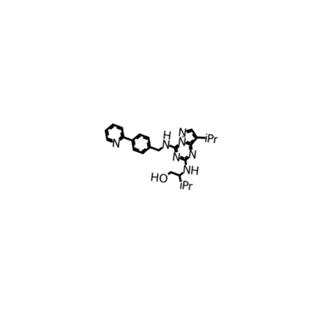 CC(C)c1cnn2c(NCc3ccc(-c4ccccn4)cc3)nc(NC(CO)C(C)C)nc12